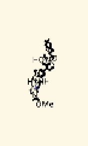 COCC(C)N1CCN/C(=C\C(=N)Nc2cc(-c3ccnc(N4CCn5c(cc6c5CC(C)(C)C6)C4=O)c3CO)cn(C)c2=O)C1